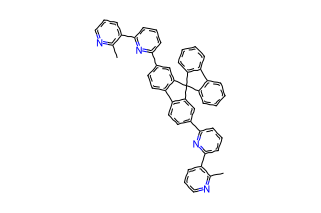 Cc1ncccc1-c1cccc(-c2ccc3c(c2)C2(c4ccccc4-c4ccccc42)c2cc(-c4cccc(-c5cccnc5C)n4)ccc2-3)n1